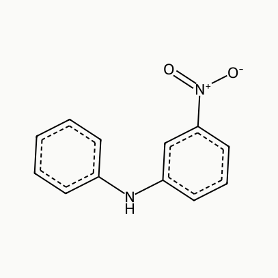 O=[N+]([O-])c1cccc(Nc2ccccc2)c1